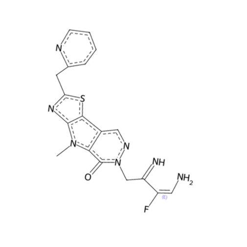 Cn1c2nc(Cc3ccccn3)sc2c2cnn(CC(=N)/C(F)=C\N)c(=O)c21